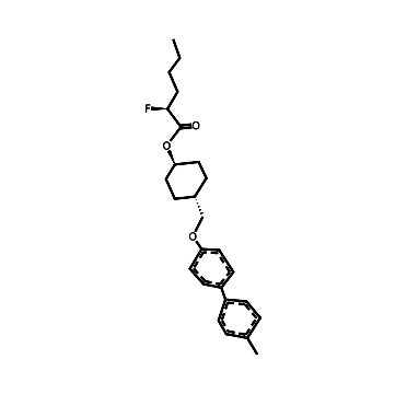 CCCC[C@H](F)C(=O)O[C@H]1CC[C@H](COc2ccc(-c3ccc(C)cc3)cc2)CC1